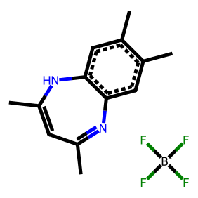 CC1=CC(C)=Nc2cc(C)c(C)cc2N1.F[B-](F)(F)F